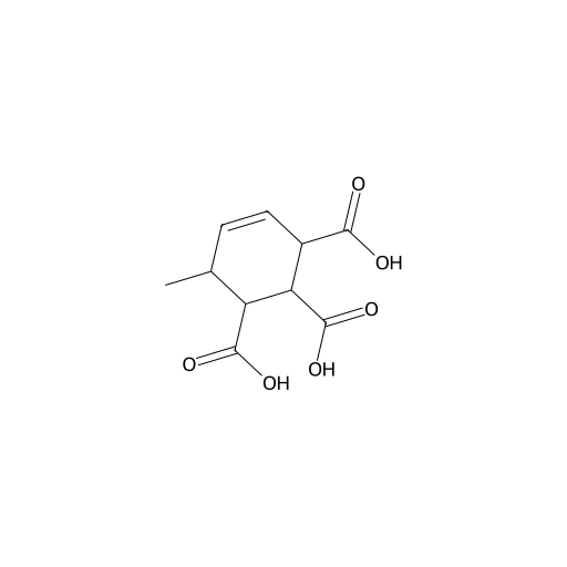 CC1C=CC(C(=O)O)C(C(=O)O)C1C(=O)O